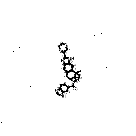 CC12CCN(C(=O)c3ccc4nc[nH]c4c3)C(Cc3cc4nc(-c5cnccn5)[nH]c4cc31)C2(C)C